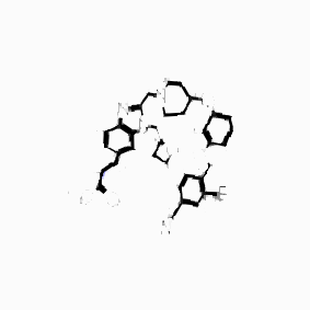 N#Cc1ccc(COc2cccc(OC3CCN(Cc4nc5ccc(/C=C/C(=O)O)cc5n4C[C@@H]4CCO4)CC3)c2)c(F)c1